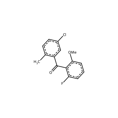 COc1cccc(F)c1C(=O)c1cc(Cl)ccc1C